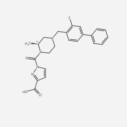 C[C@H]1CN(Cc2ccc(-c3ccccc3)cc2F)CCN1C(=O)n1ccc(C(=O)O)n1